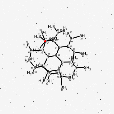 BB(B)B(B)B(B(B(B)B)B(B)B)B(B(B(B(B)B)B(B)B)B(B(B)B)B(B)B)B(B(B(B)B)B(B)B)B(B(B)B)B(B)B